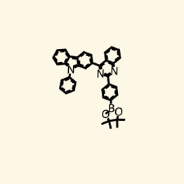 CC1(C)OB(c2ccc(-c3nc(-c4ccc5c6ccccc6n(-c6ccccc6)c5c4)c4ccccc4n3)cc2)OC1(C)C